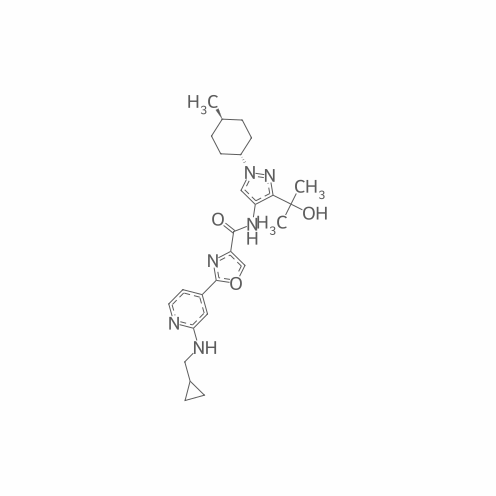 CC(C)(O)c1nn([C@H]2CC[C@H](C)CC2)cc1NC(=O)c1coc(-c2ccnc(NCC3CC3)c2)n1